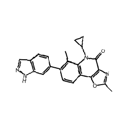 Cc1nc2c(=O)n(C3CC3)c3c(C)c(-c4ccc5cn[nH]c5c4)ccc3c2o1